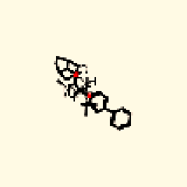 CN(C)C(C(=O)C1C2CCC1CC(NC(=O)OC(C)(C)C)C2)C(F)(F)c1ccc(-c2ccccc2)cc1